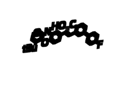 CC(C)(C)c1ccccc1Oc1ccc(C=Cc2cc(-c3ccc(F)cc3)ccc2C(=O)O)cc1[N+](=O)[O-]